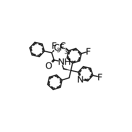 O=C(NC[C@@](Cc1ccccc1)(c1cc(F)cc(C(F)(F)F)c1)c1ccc(F)cn1)[C@@H](c1ccccc1)C(F)(F)F